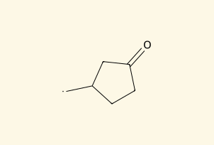 [CH2]C1CCC(=O)C1